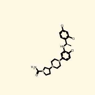 C[C@@H](Nc1cc(N2CCN(C3CCN(C(N)=O)C3)CC2)ccc1Cl)c1ccc(Cl)cc1Cl